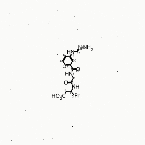 CC(C)C(CC(=O)O)NC(=O)CNC(=O)c1cccc(NC=NN)c1